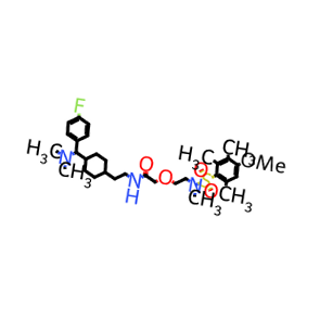 COc1cc(C)c(S(=O)(=O)N(C)CCOCC(=O)NCCC2CCC(C(c3ccc(F)cc3)N(C)C)CC2)c(C)c1C